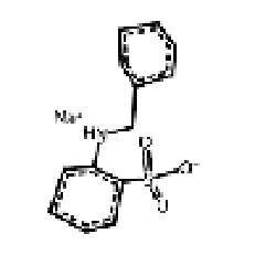 O=S(=O)([O-])c1ccccc1NCc1ccccc1.[Na+]